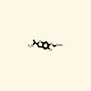 COCOc1cc2c(cc1Cl)CC(C(C)N)O2